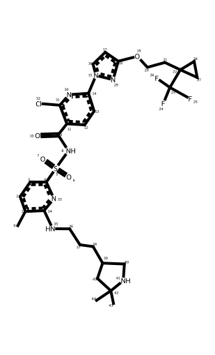 Cc1ccc(S(=O)(=O)NC(=O)c2ccc(-n3ccc(OCCC4(C(F)(F)F)CC4)n3)nc2Cl)nc1NCCCC1CNC(C)(C)C1